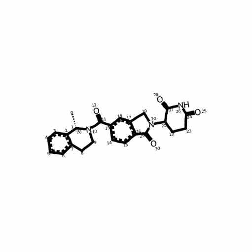 C[C@H]1c2ccccc2CCN1C(=O)c1ccc2c(c1)CN(C1CCC(=O)NC1=O)C2=O